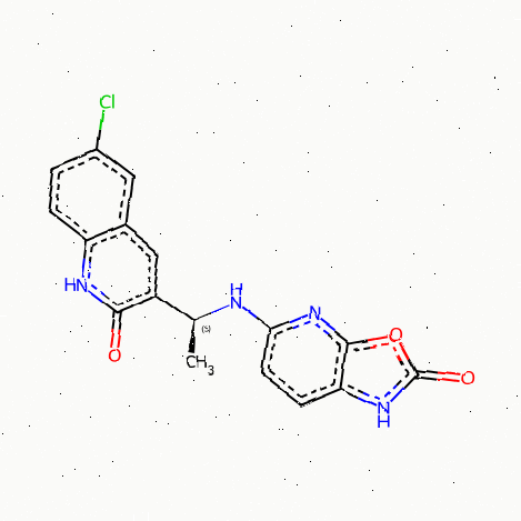 C[C@H](Nc1ccc2[nH]c(=O)oc2n1)c1cc2cc(Cl)ccc2[nH]c1=O